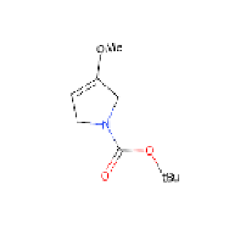 COC1=CCN(C(=O)OC(C)(C)C)C1